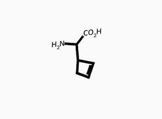 NC(C(=O)O)C1C=CC1